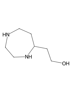 OCCC1CCNCCN1